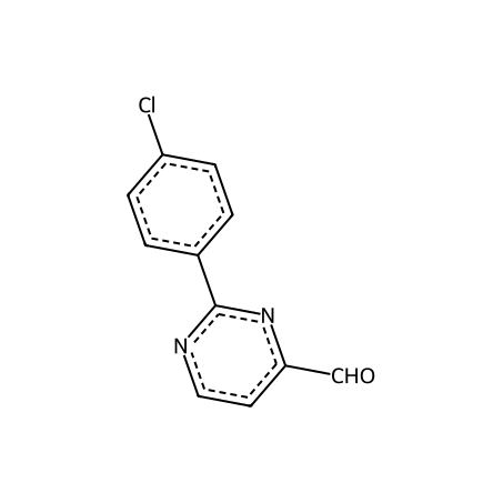 O=Cc1ccnc(-c2ccc(Cl)cc2)n1